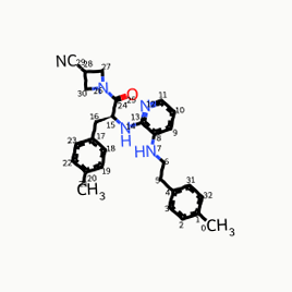 Cc1ccc(CCNc2cccnc2N[C@@H](Cc2ccc(C)cc2)C(=O)N2CC(C#N)C2)cc1